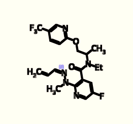 C=C/C=N\N(C)c1ncc(F)cc1C(=O)N(CC)C(C)COc1ccc(C(F)(F)F)cn1